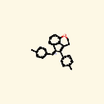 Cc1ccc(/C=C2/C(c3ccc(C)cc3)=C3CCOc4cccc2c43)cc1